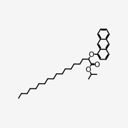 CCCCCCCCCCCCCCCCC(Oc1cccc2cc3ccccc3cc12)C(=O)OC(C)C